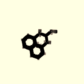 O=CC1Nc2cccc3cccc(c23)N1